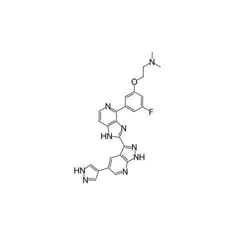 CN(C)CCOc1cc(F)cc(-c2nccc3[nH]c(-c4n[nH]c5ncc(-c6cn[nH]c6)cc45)nc23)c1